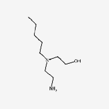 CCCCCN(CCN)CCO